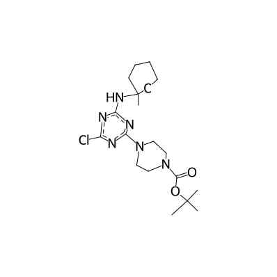 CC1(Nc2nc(Cl)nc(N3CCN(C(=O)OC(C)(C)C)CC3)n2)CCCCC1